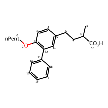 CCCCCOc1ccc(CCC(C)C(=O)O)cc1-c1ccccc1